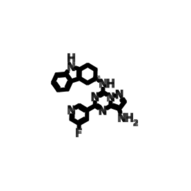 Nc1cnn2c(N[C@@H]3CCc4[nH]c5ccccc5c4C3)nc(-c3cncc(F)c3)nc12